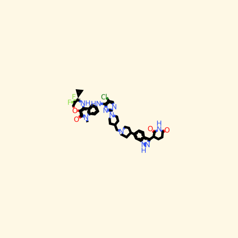 Cn1c(=O)c2c(c3cc(Nc4nc(N5CCC(CN6CCC(c7ccc8c(C9CCC(=O)NC9=O)n[nH]c8c7)CC6)CC5)ncc4Cl)ccc31)N[C@@H](C1CC1)C(F)(F)CO2